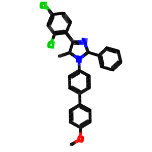 COc1ccc(-c2ccc(N3C(C)C(c4ccc(Cl)cc4Cl)=NC3c3ccccc3)cc2)cc1